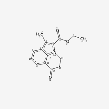 CCOC(=O)c1c(C)c2cccc3c2n1CCC3=O